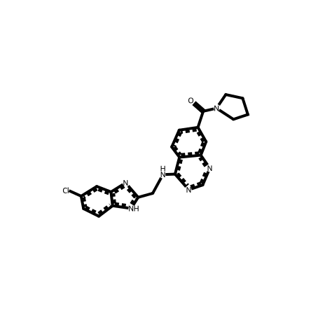 O=C(c1ccc2c(NCc3nc4cc(Cl)ccc4[nH]3)ncnc2c1)N1CCCC1